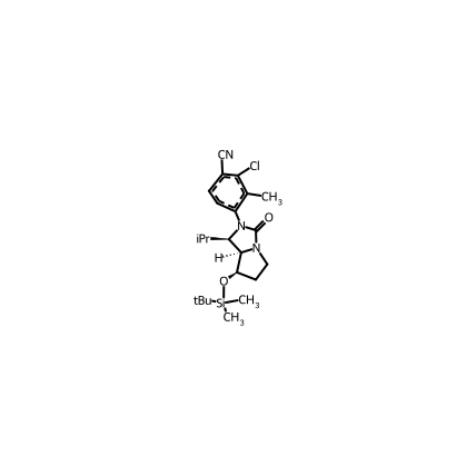 Cc1c(N2C(=O)N3CC[C@@H](O[Si](C)(C)C(C)(C)C)[C@H]3[C@H]2C(C)C)ccc(C#N)c1Cl